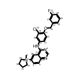 C[N+]1(c2ccc3ncnc(Nc4ccc(OCc5cccc(F)c5)c(Cl)c4)c3c2)CCCC1